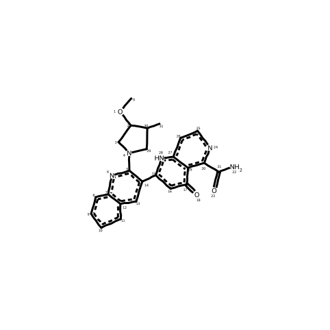 COC1CN(c2nc3ccccc3cc2-c2cc(=O)c3c(C(N)=O)nccc3[nH]2)CC1C